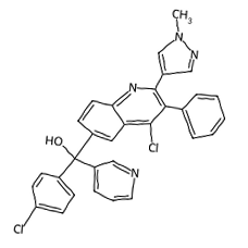 Cn1cc(-c2nc3ccc(C(O)(c4ccc(Cl)cc4)c4cccnc4)cc3c(Cl)c2-c2ccccc2)cn1